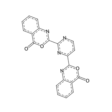 O=c1oc(-c2ccnc(-c3nc4ccccc4c(=O)o3)n2)nc2ccccc12